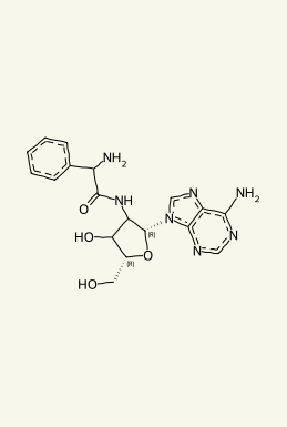 Nc1ncnc2c1ncn2[C@@H]1O[C@H](CO)C(O)C1NC(=O)C(N)c1ccccc1